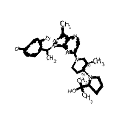 Cc1nn(C(C)c2ccc(Cl)cc2Cl)c2nc(N3CC[C@H](N4CCCC4C(C)(C)O)[C@H](C)C3)cnc12